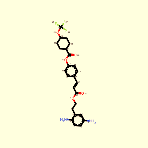 Nc1ccc(N)c(CCOC(=O)/C=C/c2ccc(OC(=O)C3CCC(OC(F)(F)F)CC3)cc2)c1